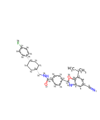 CC(C)c1cc(C#N)cc2nc(-c3ccc(C(=O)NC[C@H]4CC[C@@H](c5ccc(F)cc5)CC4)cc3)oc12